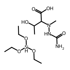 CC(O)C(C(=O)O)N(C)NC(N)=O.CCO[SiH](OCC)OCC